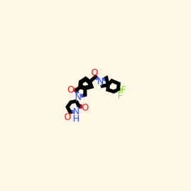 O=C1CCC(N2Cc3cc(C(=O)N4CC5(CCC(F)(F)CC5)C4)ccc3C2=O)C(=O)N1